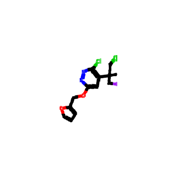 CC(CCl)(CI)c1cc(OCc2ccco2)nnc1Cl